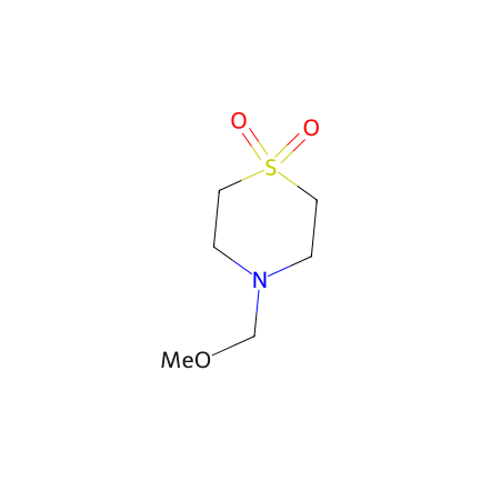 COCN1CCS(=O)(=O)CC1